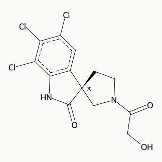 O=C(CO)N1CC[C@@]2(C1)C(=O)Nc1c2cc(Cl)c(Cl)c1Cl